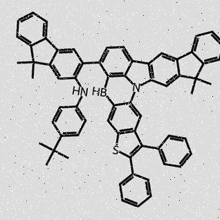 CC(C)(C)c1ccc(Nc2cc3c(cc2-c2ccc4c5cc6c(cc5n5c4c2Bc2cc4sc(-c7ccccc7)c(-c7ccccc7)c4cc2-5)C(C)(C)c2ccccc2-6)-c2ccccc2C3(C)C)cc1